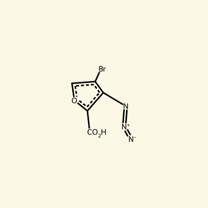 [N-]=[N+]=Nc1c(Br)coc1C(=O)O